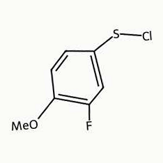 COc1ccc(SCl)cc1F